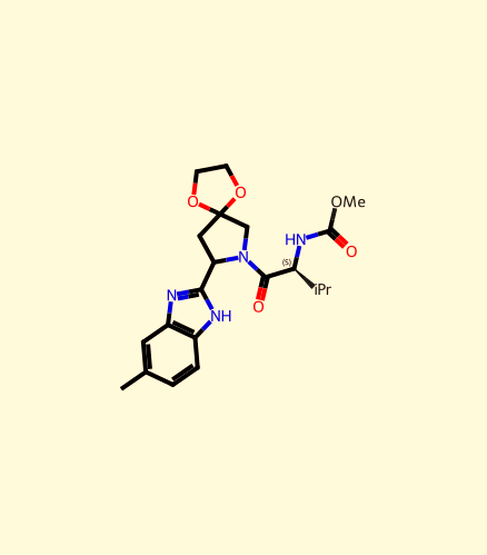 COC(=O)N[C@H](C(=O)N1CC2(CC1c1nc3cc(C)ccc3[nH]1)OCCO2)C(C)C